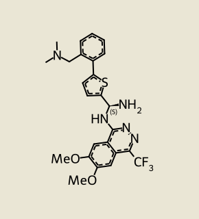 COc1cc2c(N[C@H](N)c3ccc(-c4ccccc4CN(C)C)s3)nnc(C(F)(F)F)c2cc1OC